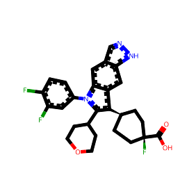 O=C(O)[C@]1(F)CC[C@@H](c2c(C3CCOCC3)n(-c3ccc(F)c(F)c3)c3cc4cn[nH]c4cc32)CC1